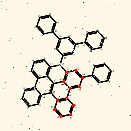 c1ccc(-c2cc(-c3ccccc3)cc(N(c3cc(-c4ccccc4)cc(-c4ccccc4)c3)c3cccc4c3c(-c3ccccc3)c(-c3ccccc3)c3ccccc34)c2)cc1